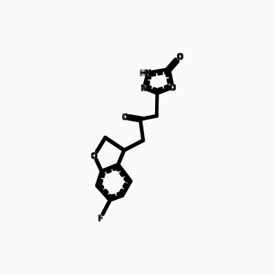 O=C(Cc1n[nH]c(=O)o1)CC1COc2cc(F)ccc21